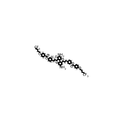 Cc1c(N)ccc(-c2ccc(N)cc2C(=O)C=Cc2ccc(OC(=O)c3ccc(OCCCCC(F)(F)F)cc3)cc2)c1C(=O)C=Cc1ccc(OC(=O)c2ccc(OCCCCC(F)(F)F)cc2)cc1